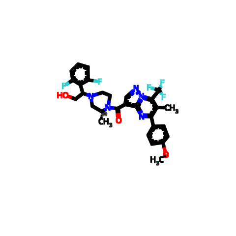 COc1ccc(-c2nc3c(C(=O)N4CCN(C(CO)c5c(F)cccc5F)C[C@H]4C)cnn3c(C(F)(F)F)c2C)cc1